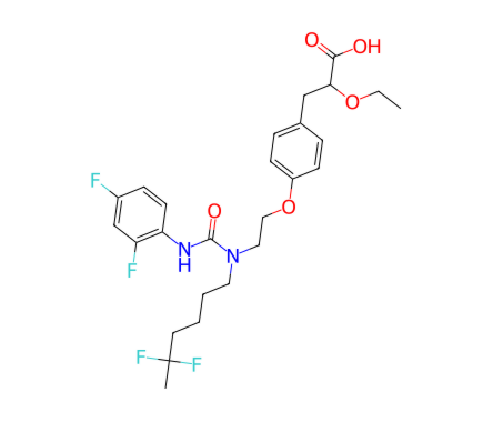 CCOC(Cc1ccc(OCCN(CCCCC(C)(F)F)C(=O)Nc2ccc(F)cc2F)cc1)C(=O)O